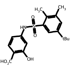 Cc1cc(C(C)(C)C)cc(S(=O)(=O)Nc2ccc(C(=O)O)c(O)c2)c1C